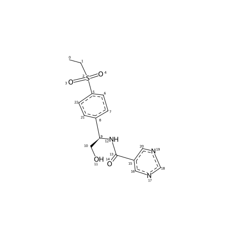 CCS(=O)(=O)c1ccc([C@H](CO)NC(=O)c2cncnc2)cc1